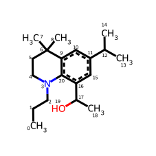 CCCN1CCC(C)(C)c2cc(C(C)C)cc(C(C)O)c21